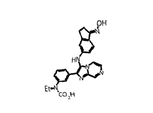 CCN(C(=O)O)c1cccc(-c2nc3cnccn3c2Nc2ccc3c(c2)CC/C3=N\O)c1